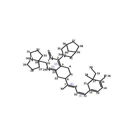 C=N/C(=C1/CCC(/C(C)=C/C=C\C2=CC=C(F)C(C)(CC)C2)C/C1=N/CC12CCCN1CCC2)N1CC2CCC(C2)C1